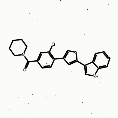 O=C(c1ccc(-c2csc(-c3c[nH]c4ccccc34)c2)c(Cl)c1)N1CCCCC1